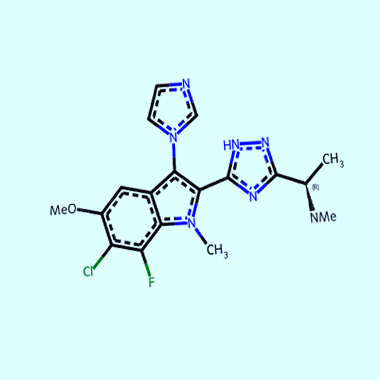 CN[C@H](C)c1n[nH]c(-c2c(-n3ccnc3)c3cc(OC)c(Cl)c(F)c3n2C)n1